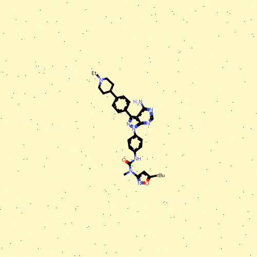 CCN1CCC(c2ccc(-c3nn(-c4ccc(NC(=O)N(C)c5cc(C(C)(C)C)on5)cc4)c4ncnc(N)c34)cc2)CC1